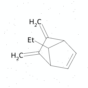 C=C1C(=C)C2C=CC1C2CC